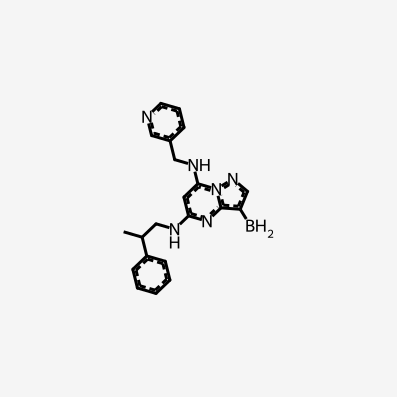 Bc1cnn2c(NCc3cccnc3)cc(NCC(C)c3ccccc3)nc12